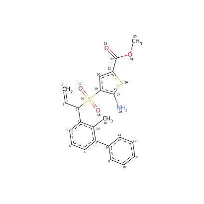 C=CC(c1cccc(-c2ccccc2)c1C)S(=O)(=O)c1cc(C(=O)OC)sc1N